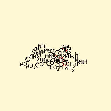 CCCCCC(NC(=O)C(Cc1ccc(O)cc1)NC(=O)C(CCC(=O)O)NC(=O)C(CCC(=O)O)NC(=O)C(NC(=O)C(CCCCN)NC(=O)C(Cc1ccccc1)NC(=O)C(CC(N)=O)NC(=O)C(CC(N)=O)NC(=O)C(C)CCCNC(=N)N)C(C)O)C(N)=O